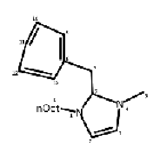 CCCCCCCCN1C=CN(C)C1Cc1ccccc1